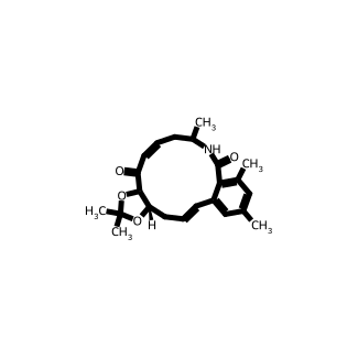 Cc1cc(C)c2c(c1)/C=C/C[C@@H]1OC(C)(C)OC1C(=O)/C=C\CC(C)NC2=O